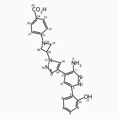 Nc1nnc(-c2ccccc2O)cc1-c1cnn(C2CN(c3ccc(C(=O)O)cc3)C2)c1